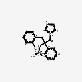 O=[N+]([O-])OC(Cc1ccccc1Cl)(Cn1ccnc1)c1ccccc1